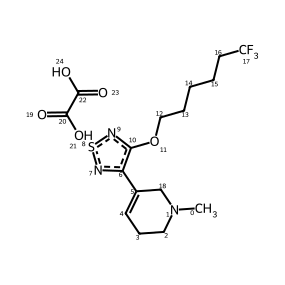 CN1CCC=C(c2nsnc2OCCCCCC(F)(F)F)C1.O=C(O)C(=O)O